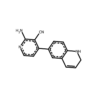 N#Cc1c(-c2ccc3c(c2)C=CCN3)ccnc1N